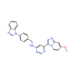 COc1ccn2c(-c3cc(NCc4ccc(-n5cnc6ccccc65)cc4)ncn3)cnc2c1